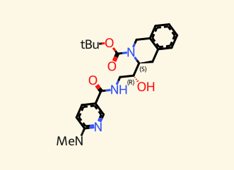 CNc1ccc(C(=O)NC[C@@H](O)[C@@H]2Cc3ccccc3CN2C(=O)OC(C)(C)C)cn1